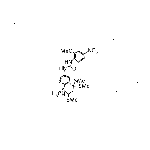 COc1cc([N+](=O)[O-])ccc1NC(=O)Nc1ccc2c(c1)C(SC)(SC)CC(SC)[SH]2C